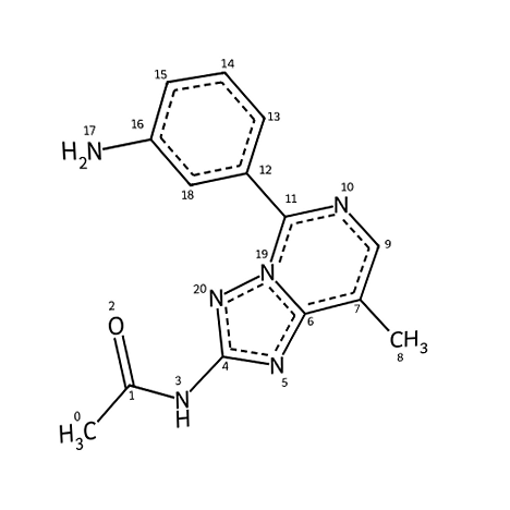 CC(=O)Nc1nc2c(C)cnc(-c3cccc(N)c3)n2n1